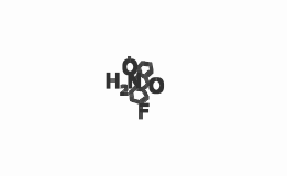 COc1cccc(C(=O)c2cccc(F)c2)c1N